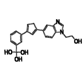 OCCn1cnc2cc(C3=CC(c4cccc(C(O)(O)O)c4)=CC3)ccc21